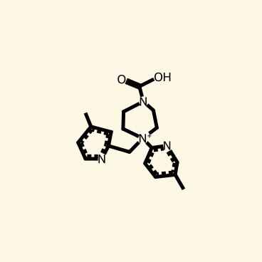 Cc1ccc([N+]2(Cc3cc(C)ccn3)CCN(C(=O)O)CC2)nc1